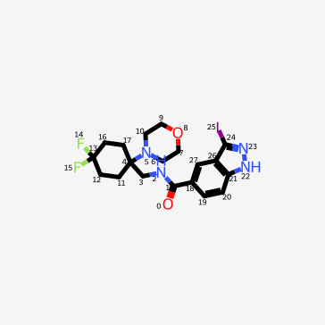 O=C(NCC1(N2CCOCC2)CCC(F)(F)CC1)c1ccc2[nH]nc(I)c2c1